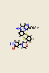 COc1cnc(C(C)Nc2ccc3c(c2)Sc2cccc(C4CN(c5cc[nH]c(=O)c5)CCO4)c2S3)cn1